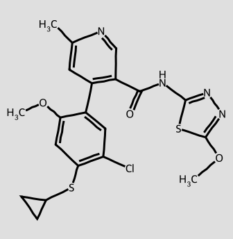 COc1nnc(NC(=O)c2cnc(C)cc2-c2cc(Cl)c(SC3CC3)cc2OC)s1